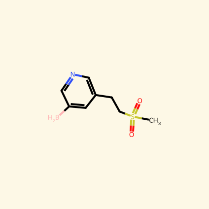 Bc1cncc(CCS(C)(=O)=O)c1